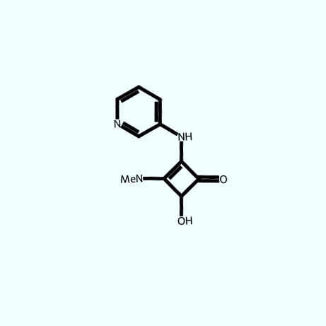 CNC1=C(Nc2cccnc2)C(=O)C1O